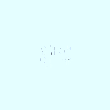 Cc1ccc(C(=O)NCc2ccc(C[SH](=O)=O)c(Br)c2)c(=O)n1-c1cccc(C(F)(F)F)c1